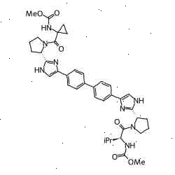 COC(=O)N[C@H](C(=O)N1CCC[C@H]1c1nc(-c2ccc(-c3ccc(-c4c[nH]c([C@@H]5CCCN5C(=O)C5(NC(=O)OC)CC5)n4)cc3)cc2)c[nH]1)C(C)C